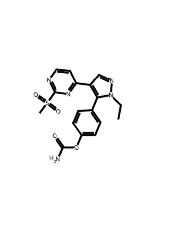 CCn1ncc(-c2ccnc(S(C)(=O)=O)n2)c1-c1ccc(OC(N)=O)cc1